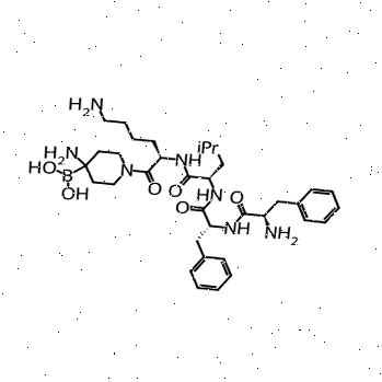 CC(C)C[C@@H](NC(=O)[C@@H](Cc1ccccc1)NC(=O)[C@H](N)Cc1ccccc1)C(=O)N[C@H](CCCCN)C(=O)N1CCC(N)(B(O)O)CC1